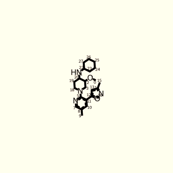 COC1CN(c2ncc(C)cc2-c2cc(C)no2)CCC1NC1CCCCC1